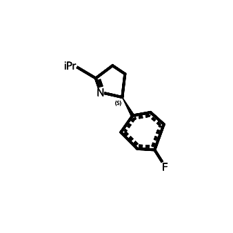 CC(C)C1=N[C@H](c2ccc(F)cc2)CC1